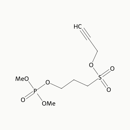 C#CCOS(=O)(=O)CCCOP(=O)(OC)OC